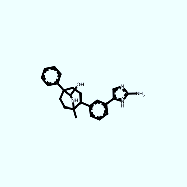 CC12CCC(c3ccccc3)(CCC1c1cccc(-c3cnc(N)[nH]3)c1)C(O)N2